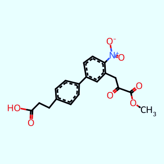 COC(=O)C(=O)Cc1cc(-c2ccc(CCC(=O)O)cc2)ccc1[N+](=O)[O-]